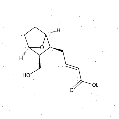 O=C(O)/C=C/C[C@H]1[C@@H](CO)[C@H]2CC[C@@H]1O2